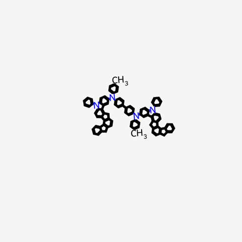 Cc1ccc(N(c2ccc(-c3ccc(N(c4ccc(C)cc4)c4ccc5c(c4)c4c6c(ccc4n5-c4ccccc4)-c4c(ccc5c4-c4ccccc4C5)C6)cc3)cc2)c2ccc3c(c2)c2c4c(ccc2n3-c2ccccc2)-c2c(ccc3c2-c2ccccc2C3)C4)cc1